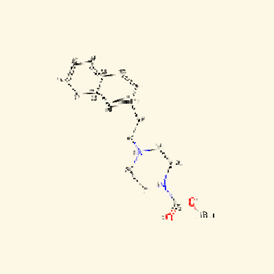 CC(C)(C)OC(=O)N1CCN(CCc2ccc3ccccc3c2)CC1